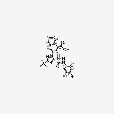 CC(C)(C)c1cc(NC(=O)Nc2cc(F)c(F)cc2F)n(-c2cc(C(=O)O)c3ccccc3c2)n1